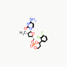 C[C@H]1C[C@@H](COP2(=O)OCCC(c3cccc(F)c3F)O2)O[C@H]1n1ccc(N)nc1=O